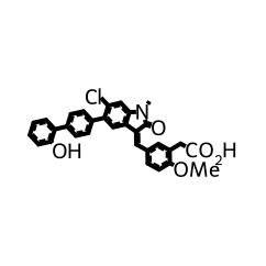 COc1ccc(C=C2C(=O)N(C)c3cc(Cl)c(-c4ccc(-c5ccccc5O)cc4)cc32)cc1CC(=O)O